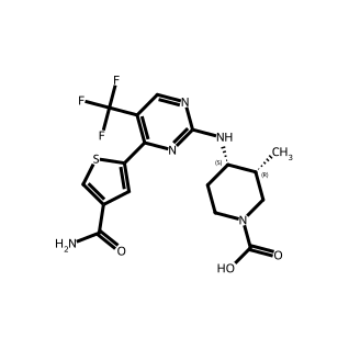 C[C@@H]1CN(C(=O)O)CC[C@@H]1Nc1ncc(C(F)(F)F)c(-c2cc(C(N)=O)cs2)n1